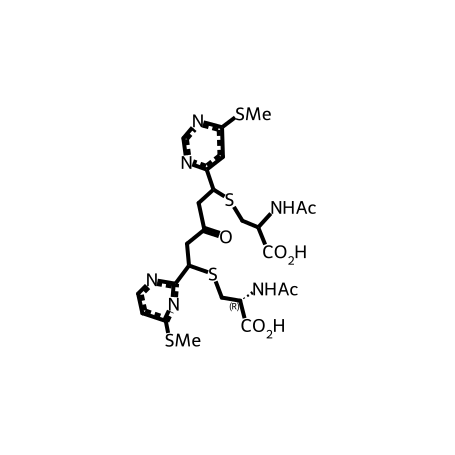 CSc1cc(C(CC(=O)CC(SC[C@H](NC(C)=O)C(=O)O)c2nccc(SC)n2)SCC(NC(C)=O)C(=O)O)ncn1